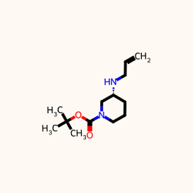 C=CCN[C@@H]1CCCN(C(=O)OC(C)(C)C)C1